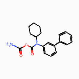 NC(=O)OC(=O)N(c1cccc(-c2ccccc2)c1)C1CCCCC1